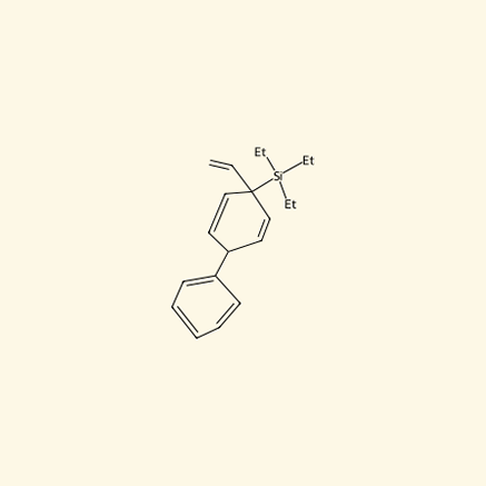 C=CC1([Si](CC)(CC)CC)C=CC(c2ccccc2)C=C1